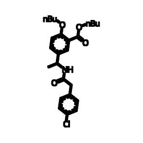 CCCCOC(=O)c1cc(C(C)NC(=O)Cc2ccc(Cl)cc2)ccc1OCCCC